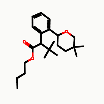 CCCCOC(=O)C(c1ccccc1C1CCC(C)(C)CO1)C(C)(C)C